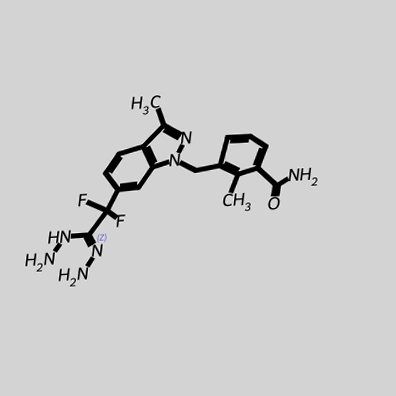 Cc1c(Cn2nc(C)c3ccc(C(F)(F)/C(=N/N)NN)cc32)cccc1C(N)=O